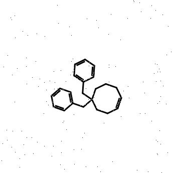 C1=CCCC(Cc2ccccc2)(Cc2ccccc2)CCC1